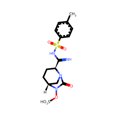 Cc1ccc(S(=O)(=O)NC(=N)[C@@H]2CC[C@@H]3CN2C(=O)N3OS(=O)(=O)O)cc1